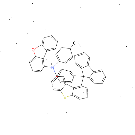 CC1C=CC(N(c2ccc3sc4cccc(C5(c6ccccc6)c6ccccc6-c6ccccc65)c4c3c2)c2cccc3oc4ccccc4c23)=CC1